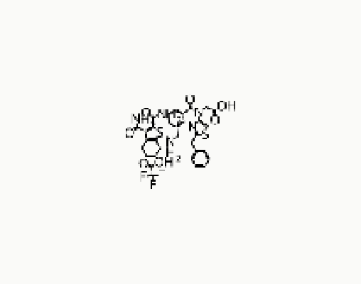 NC(=O)c1sc2c(c1C(N)=O)CCCC2.NCc1cccc(C(=O)N(CC(=O)O)c2csc(Cc3ccccc3)n2)c1.O=C(O)C(F)(F)F